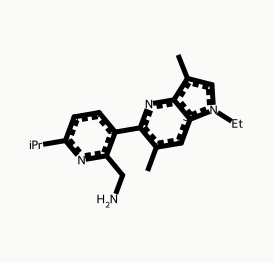 CCn1cc(C)c2nc(-c3ccc(C(C)C)nc3CN)c(C)cc21